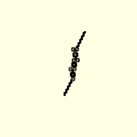 CCCCCCCCCCOC(=O)N1CCC(C(=O)Oc2ccc(OC(=O)c3ccc(OCCCCCCCCCC)cc3)cc2)CC1